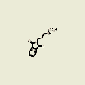 O=C(O)NCCCN1C(=O)C2C3C=CC(O3)C2C1=O